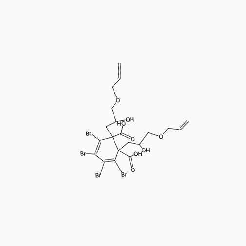 C=CCOCC(O)CC1(C(=O)O)C(Br)=C(Br)C(Br)=C(Br)C1(CC(O)COCC=C)C(=O)O